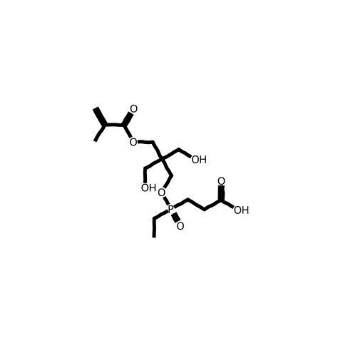 C=C(C)C(=O)OCC(CO)(CO)COP(=O)(CC)CCC(=O)O